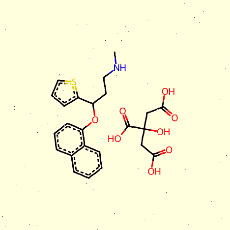 CNCCC(Oc1cccc2ccccc12)c1cccs1.O=C(O)CC(O)(CC(=O)O)C(=O)O